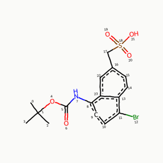 CC(C)(C)OC(=O)Nc1ccc(Br)c2ccc(CS(=O)(=O)O)cc12